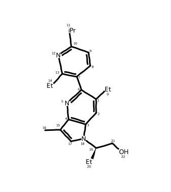 CCc1cc2c(nc1-c1ccc(C(C)C)nc1CC)c(C)cn2[C@H](CC)CO